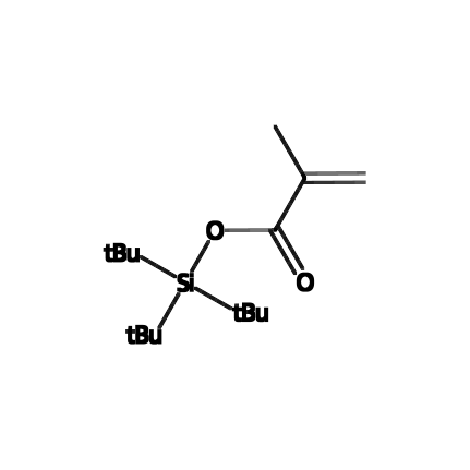 C=C(C)C(=O)O[Si](C(C)(C)C)(C(C)(C)C)C(C)(C)C